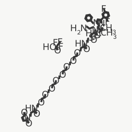 CC(C)(C)[C@H](c1nc(-c2cc(F)ccc2F)cn1Cc1ccccc1)N(CCCN)C(=O)C[S+]([O-])CCNC(=O)CCOCCOCCOCCOCCOCCOCCOCCOCCNC(=O)CCN1C(=O)C=CC1=O.O=C(O)C(F)(F)F